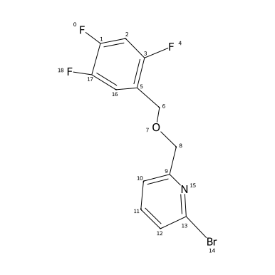 Fc1cc(F)c(COCc2cccc(Br)n2)cc1F